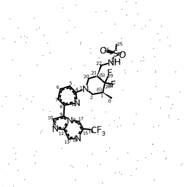 C[C@H]1CN(c2cccc(-c3cnc4cnc(C(F)(F)F)cn34)n2)C[C@@H](CNS(C)(=O)=O)C1(F)F